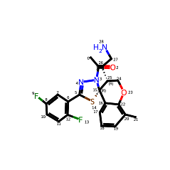 CC(=O)N1N=C(c2cc(F)ccc2F)S[C@]12c1cccc(C)c1OC[C@H]2CCN